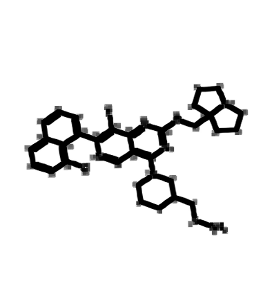 NSCC1CCCN(c2nc(OCC34CCCN3CCC4)nc3c(F)c(-c4cccc5cccc(Cl)c45)ncc23)C1